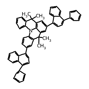 CC1(C)c2ccccc2N2c3ccc(-c4ccc(-c5ccccc5)c5ccccc45)cc3C(C)(C)c3cc(-c4ccc(-c5ccccc5)c5ccccc45)cc1c32